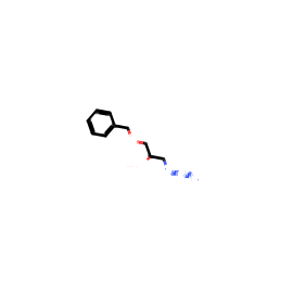 [N-]=[N+]=NCC(O)COCc1ccccc1